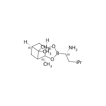 CC(C)C[C@@H](N)B1O[C@@H]2C[C@@H]3CC(C3(C)C)[C@]2(C)O1